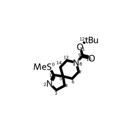 CSC1=NCCC12CCN(C(=O)OC(C)(C)C)CC2